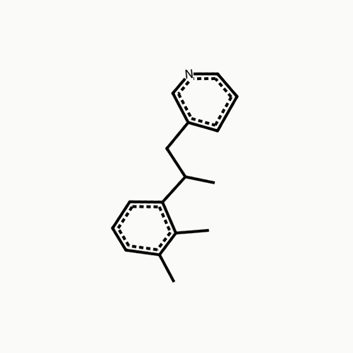 Cc1cccc(C(C)Cc2cccnc2)c1C